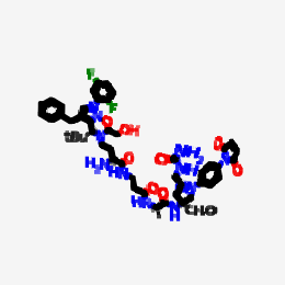 C[C@H](NC(=O)CCNC(=O)[C@@H](N)CCN(C(=O)CO)[C@@H](c1nn(-c2cc(F)ccc2F)cc1Cc1ccccc1)C(C)(C)C)C(=O)N[C@](C=O)(CCCNC(N)=O)CNc1ccc(N2C(=O)C=CC2=O)cc1